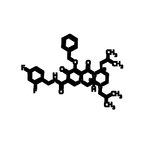 CC(C)C[C@H]1CCN(CC(C)C)[C@@H]2Cn3cc(C(=O)NCc4ccc(F)cc4F)c(=O)c(OCc4ccccc4)c3C(=O)N12